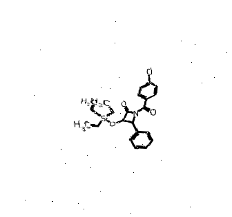 CC[Si](CC)(CC)OC1C(=O)N(C(=O)c2ccc(Cl)cc2)C1c1ccccc1